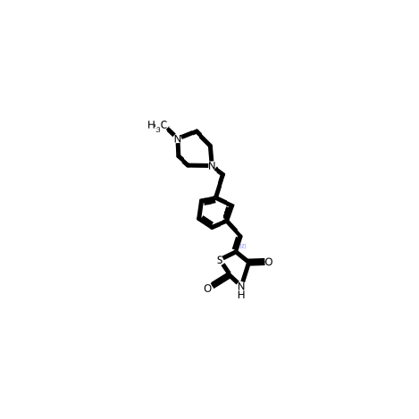 CN1CCN(Cc2cccc(/C=C3\SC(=O)NC3=O)c2)CC1